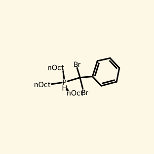 CCCCCCCC[PH](CCCCCCCC)(CCCCCCCC)C(Br)(Br)c1ccccc1